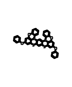 c1ccc(Oc2cc3c4c(c2)Sc2cc5c(cc2B4c2ccccc2O3)B2c3ccccc3Oc3cc(Oc4ccccc4)cc(c32)S5)cc1